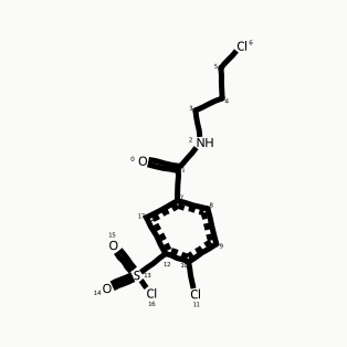 O=C(NCCCCl)c1ccc(Cl)c(S(=O)(=O)Cl)c1